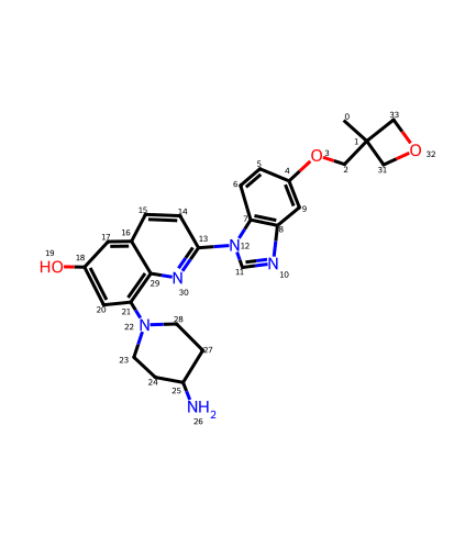 CC1(COc2ccc3c(c2)ncn3-c2ccc3cc(O)cc(N4CCC(N)CC4)c3n2)COC1